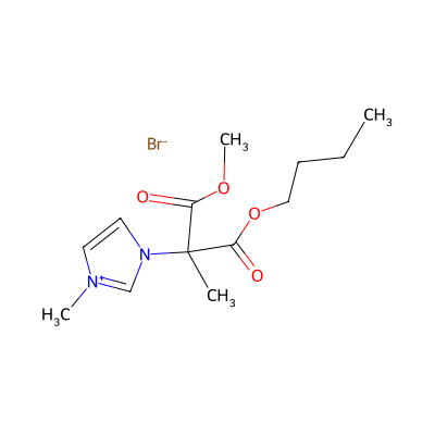 CCCCOC(=O)C(C)(C(=O)OC)n1cc[n+](C)c1.[Br-]